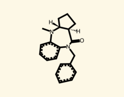 CN1c2ccccc2N(Cc2ccccc2)C(=O)[C@@H]2CCC[C@H]21